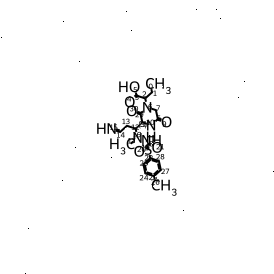 CCC(C(=O)O)N1CC(=O)N[C@@H](C(CC=N)N(C)NS(=O)(=O)c2ccc(C)cc2)C1=O